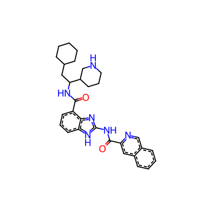 O=C(Nc1nc2c(C(=O)NC(CC3CCCCC3)C3CCCNC3)cccc2[nH]1)c1cc2ccccc2cn1